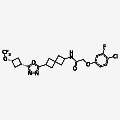 O=C(COc1ccc(Cl)c(F)c1)NC1CC2(C1)CC(c1nnc([C@H]3C[C@@H](OC(F)(F)F)C3)o1)C2